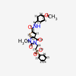 COc1ccc(CNC(=O)c2cc3c(=O)n(CCS(=O)(=O)c4ccccc4)c(=O)n(C)c3s2)cc1